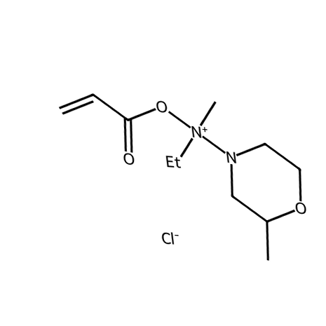 C=CC(=O)O[N+](C)(CC)N1CCOC(C)C1.[Cl-]